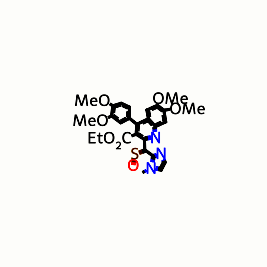 CCOC(=O)c1c(C(=S=O)c2nccn2C)nc2cc(OC)c(OC)cc2c1-c1ccc(OC)c(OC)c1